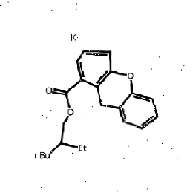 CCCCC(CC)COC(=O)c1cccc2c1Cc1ccccc1O2.[K]